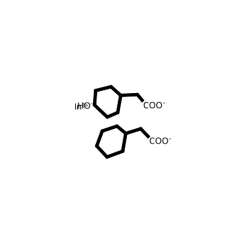 O=C([O-])CC1CCCCC1.O=C([O-])CC1CCCCC1.[In+3].[OH-]